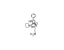 Cl.NCCCc1nc(N2CCCCC2)c2[nH]c(-c3ccccc3)cc2n1